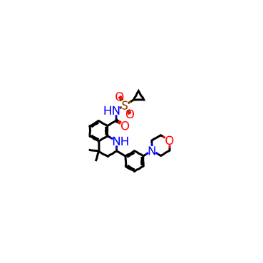 CC1(C)CC(c2cccc(N3CCOCC3)c2)Nc2c(C(=O)NS(=O)(=O)C3CC3)cccc21